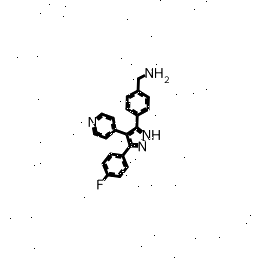 NCc1ccc(-c2[nH]nc(-c3ccc(F)cc3)c2-c2ccncc2)cc1